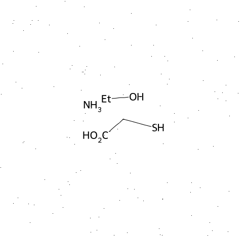 CCO.N.O=C(O)CS